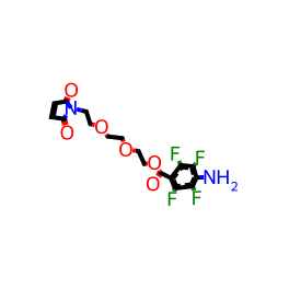 Nc1c(F)c(F)c(C(=O)OCCOCCOCCN2C(=O)C=CC2=O)c(F)c1F